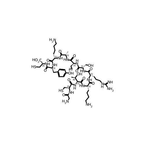 CC(C)C[C@H](NC(=O)[C@H](CO)NC(=O)[C@H](CCCNC(=N)N)NC(=O)[C@H](CCCCN)NC(=O)[C@@H](NC(=O)[C@H](CS)NC(=O)CN)[C@@H](C)O)C(=O)N[C@@H](C)C(=O)N[C@@H](CCCCN)C(=O)N[C@@H](Cc1ccc(O)cc1)C(=O)N[C@@H](CS)C(=O)O